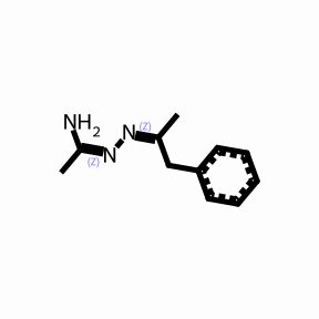 C/C(N)=N/N=C(/C)Cc1ccccc1